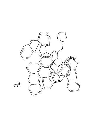 [CH3][Zr]([CH3])(=[SiH2])([CH]1C(CC2CCCC2)=Cc2c(-c3c4ccccc4cc4ccccc34)ccc(-c3c4ccccc4cc4ccccc34)c21)[CH]1C(CC2CCCC2)=Cc2c(-c3c4ccccc4cc4ccccc34)ccc(-c3c4ccccc4cc4ccccc34)c21.[Cl-].[Cl-]